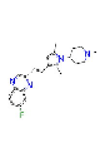 Cc1cc(C=Cc2cnc3ccc(F)cc3n2)c(C)n1C1CCN(C)CC1